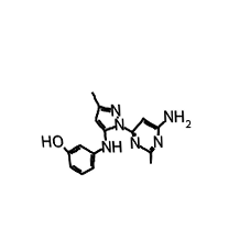 Cc1cc(Nc2cccc(O)c2)n(-c2cc(N)nc(C)n2)n1